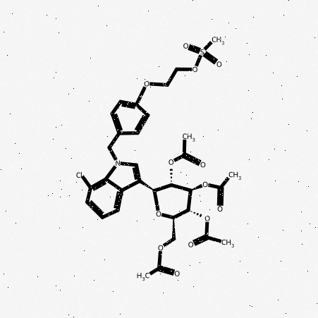 CC(=O)OC[C@H]1O[C@@H](c2cn(Cc3ccc(OCCOS(C)(=O)=O)cc3)c3c(Cl)cccc23)[C@H](OC(C)=O)[C@@H](OC(C)=O)[C@@H]1OC(C)=O